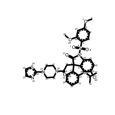 COc1ccc(S(=O)(=O)N2C(=O)C(CC(=O)N3CCN(c4nccs4)CC3)(c3ccccc3OC(C)C)c3cc(Cl)ccc32)c(OC)c1